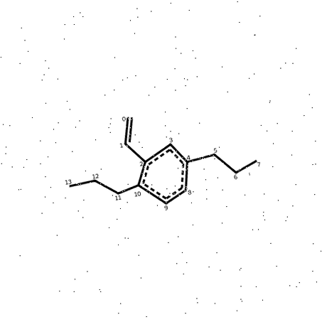 C=Cc1cc(CCC)ccc1CCC